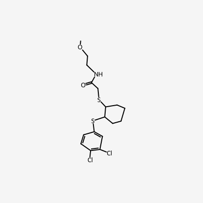 COCCNC(=O)CSC1CCCCC1Sc1ccc(Cl)c(Cl)c1